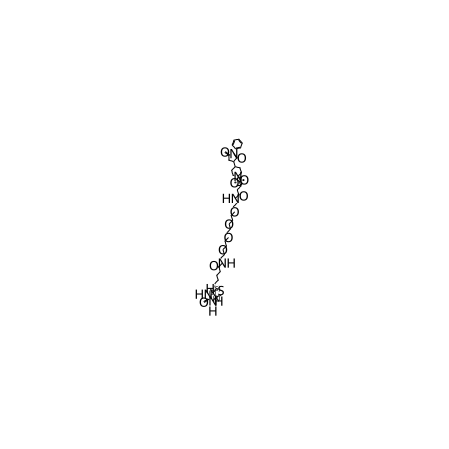 O=C(CCCC[C@@H]1SC[C@@H]2NC(=O)N[C@@H]21)NCCOCCOCCOCCOCCNC(=O)CCS(=O)(=O)N1CCC(C2CC(=O)N(c3ccccc3)C2=O)CC1